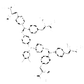 [C-]#[N+]/C(=C\c1ccc(C(=Cc2ccc(N(c3ccc(C=C(c4ccc(/C=C(\[N+]#[C-])C(=O)O)cc4)c4ccc(/C=C(\[N+]#[C-])C(=O)O)cc4)cc3)c3ccc(C)c(C)c3)cc2)c2ccc(/C=C(\[N+]#[C-])C(=O)O)cc2)cc1)C(=O)O